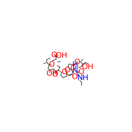 CCCNC(=O)C(=O)N[C@@H]1C=C[C@]2(O[C@H](C(CC)C(=O)[C@@H](C)[C@@H](O)[C@H](C)[C@@H]3O[C@@H]([C@@H](CC)C(=O)O)CC[C@@H]3C)[C@@H](C)C[C@H]2C)O[C@@]12CC[C@@](C)([C@H]1CC[C@](O)(CC)[C@H](C)O1)O2